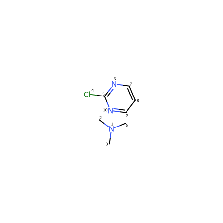 CN(C)C.Clc1ncccn1